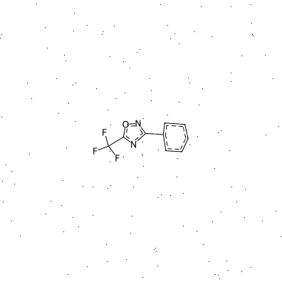 FC(F)(F)c1nc(-c2ccccc2)no1